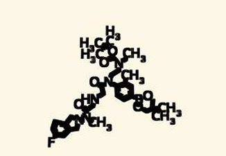 CCN(CCN(C(=O)CNCC(=O)N(C)N1Cc2ccc(F)cc2C1)c1ccc(B2OCC(C)(C)CO2)cc1C)C(=O)OC(C)(C)C